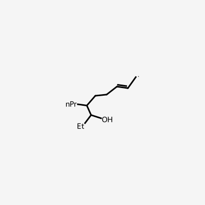 [CH2]/C=C/CCC(CCC)C(O)CC